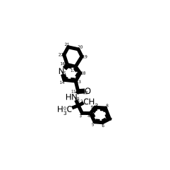 CC(C)(Cc1ccccc1)NC(=O)c1cnc2c(c1)CCCC2